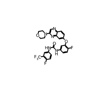 O=C(Nc1ccc(F)c(Oc2ccc3ncc(N4CCOCC4)nc3c2)c1)Nc1ccc(F)c(C(F)(F)F)c1